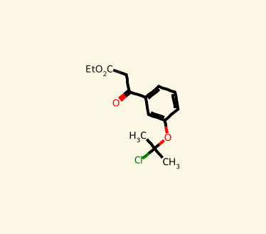 CCOC(=O)CC(=O)c1cccc(OC(C)(C)Cl)c1